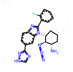 [N-]=[N+]=N[C@H]1[C@H](n2c(-c3ccccc3F)nc3ccc(-c4nc[nH]n4)cc32)CCC[C@@H]1N